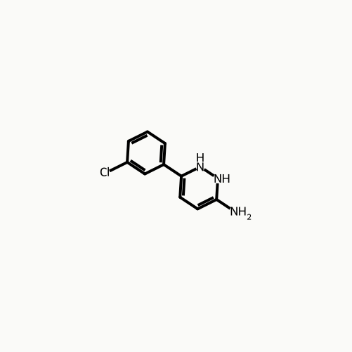 NC1=CC=C(c2cccc(Cl)c2)NN1